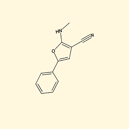 CNc1oc(-c2ccccc2)cc1C#N